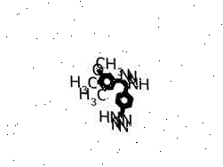 COc1cc(-c2nn[nH]c2-c2ccc(-c3nnn[nH]3)cc2)cc(C)c1C